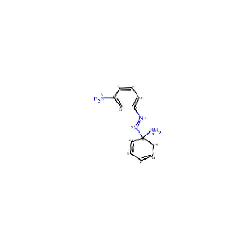 Nc1cccc(N=NC2(N)C=CC=CC2)c1